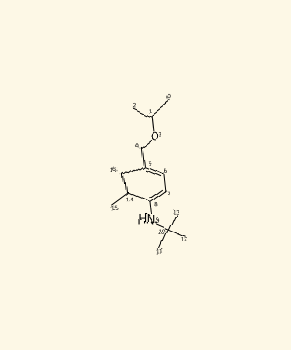 CC(C)OCC1=CC=C(NC(C)(C)C)C(C)C1